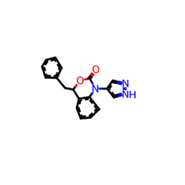 O=C1OC(Cc2ccccc2)c2ccccc2N1c1cn[nH]c1